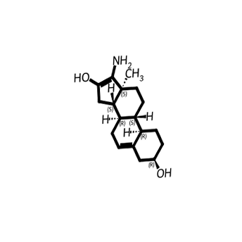 C[C@]12CC[C@H]3[C@@H](CC=C4C[C@H](O)CC[C@@H]43)[C@@H]1CC(O)=C2N